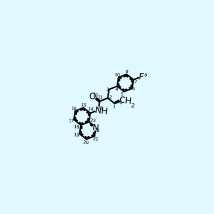 C=CC(Cc1ccc(F)cc1)C(=O)Nc1cccc2cccnc12